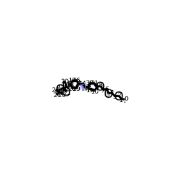 [CH2]COCCOCCOc1ccc(/C=C/c2ccc(N(C)C(=O)OC(C)(C)C)cc2)cc1